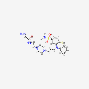 CN(C)S(=O)(=O)c1ccc2c(c1)N(CCCN1CCN(CCNC(=O)CN)CC1)c1ccccc1S2